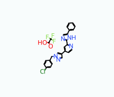 Clc1ccc(Cn2cc(-c3ccnc(-c4ncc(-c5ccccc5)[nH]4)c3)cn2)cc1.O=C(O)C(F)(F)F